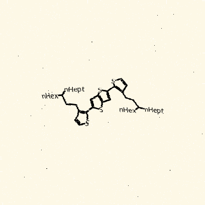 CCCCCCCC(CCCCCC)CCc1ccsc1-c1cc2sc(-c3sccc3CCC(CCCCCC)CCCCCCC)cc2s1